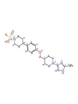 CC(C)c1nc(N2CCC(COc3ccc(C4CCN(S(C)(=O)=O)CC4)cc3)CC2)no1